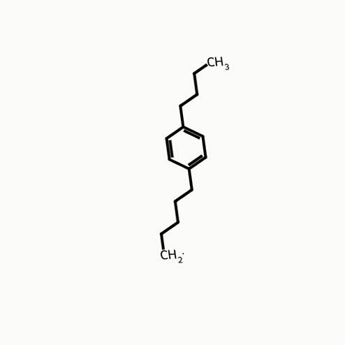 [CH2]CCCCc1ccc(CCCC)cc1